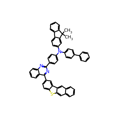 CC1(C)c2ccccc2-c2ccc(N(c3ccc(-c4ccccc4)cc3)c3ccc(-c4nc(-c5ccc6sc7cc8ccccc8cc7c6c5)c5ccccc5n4)cc3)cc21